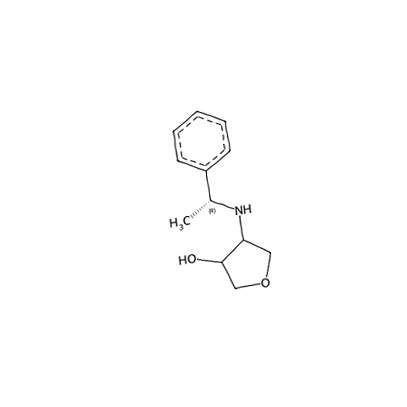 C[C@@H](NC1COCC1O)c1ccccc1